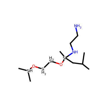 CC(C)C[Si](C)(NCCN)O[SiH2][SiH2]O[SiH](C)C